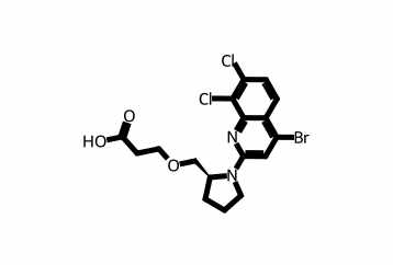 O=C(O)CCOC[C@@H]1CCCN1c1cc(Br)c2ccc(Cl)c(Cl)c2n1